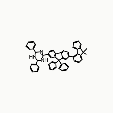 CC1(C)c2ccccc2-c2c(-c3ccc4c(c3)C(c3ccccc3)(c3ccccc3)c3cc(C5=NC(c6ccccc6)NC(c6ccccc6)N5)ccc3-4)cccc21